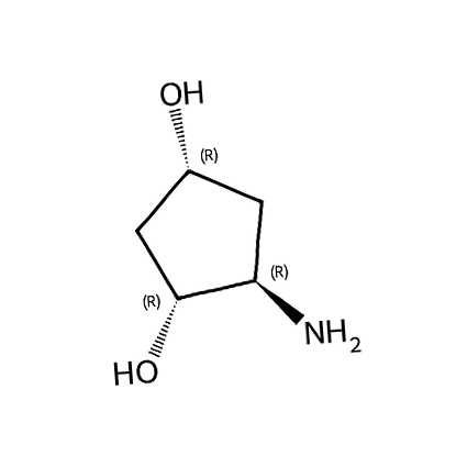 N[C@@H]1C[C@@H](O)C[C@H]1O